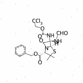 CC1(C)S[C@H]2N(C(=O)[C@]2(NC=O)NC(=O)OCC(Cl)(Cl)Cl)[C@H]1C(=O)OCc1ccccc1